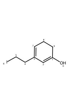 OC1=CC(CCI)=CCC1